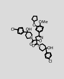 COc1ccc(C2=NOC(C(=O)N3CCC(O)(c4ccc(Cl)cc4)CC3)(C(=O)N3CCC(O)(c4ccc(Cl)cc4)CC3)C2)cc1OC1CCCC1